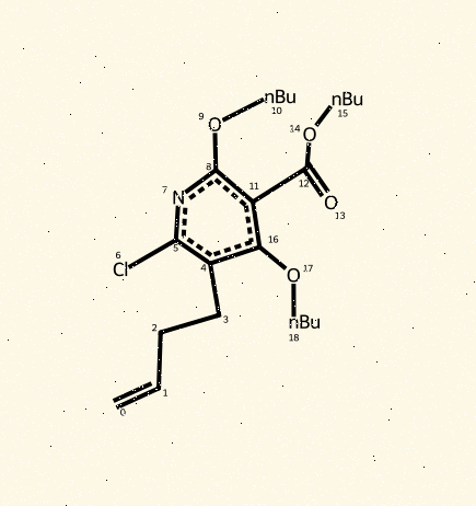 C=CCCc1c(Cl)nc(OCCCC)c(C(=O)OCCCC)c1OCCCC